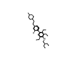 CCc1cc(-c2ccc(CCC3CCC(C)CC3)cc2F)c(CC)c(CC)c1OCC(CC)CC